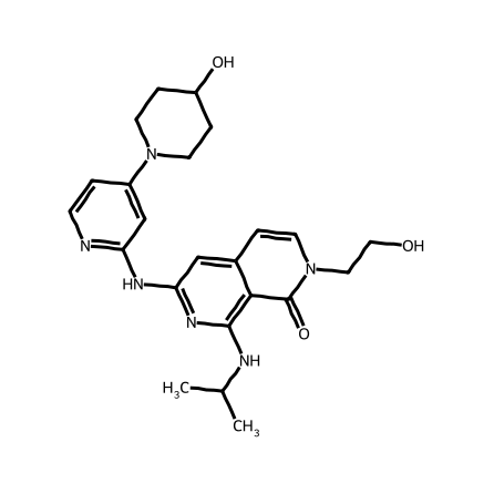 CC(C)Nc1nc(Nc2cc(N3CCC(O)CC3)ccn2)cc2ccn(CCO)c(=O)c12